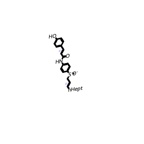 CCCCCCC/C=C/C[S+]([O-])c1ccc(NC(=O)/C=C/c2ccc(O)cc2)cc1